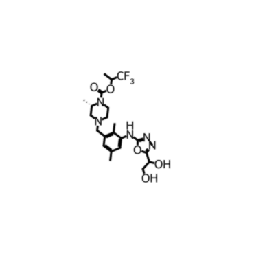 Cc1cc(CN2CCN(C(=O)OC(C)C(F)(F)F)[C@@H](C)C2)c(C)c(Nc2nnc(C(O)CO)o2)c1